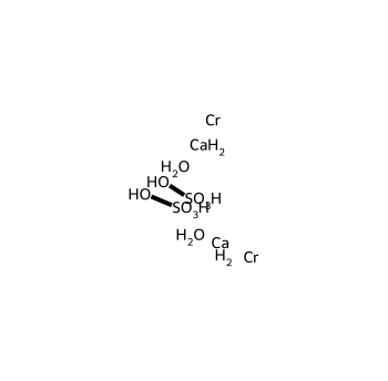 O.O.O=S(=O)(O)O.O=S(=O)(O)O.[CaH2].[CaH2].[Cr].[Cr]